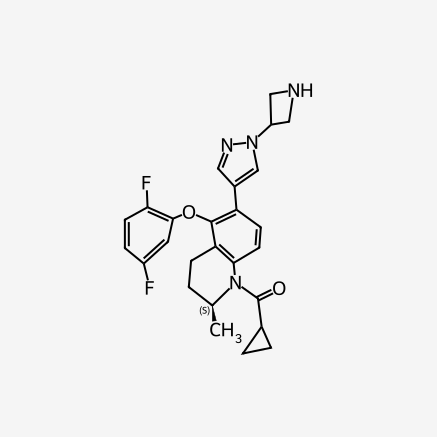 C[C@H]1CCc2c(ccc(-c3cnn(C4CNC4)c3)c2Oc2cc(F)ccc2F)N1C(=O)C1CC1